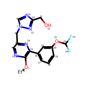 CCOc1ncc(Cn2cnc(CO)n2)nc1-c1cccc(OC(F)F)c1